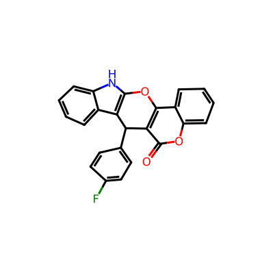 O=c1oc2ccccc2c2c1C(c1ccc(F)cc1)c1c([nH]c3ccccc13)O2